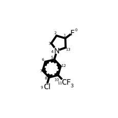 FC1CCN(c2ccc(Cl)c(C(F)(F)F)c2)C1